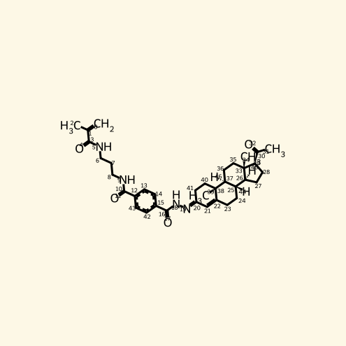 C=C(C)C(=O)NCCCNC(=O)c1ccc(C(=O)N/N=C2/C=C3CC[C@H]4[C@@H]5CC[C@H](C(C)=O)[C@@]5(C)CC[C@@H]4[C@@]3(C)CC2)cc1